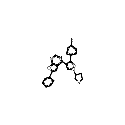 Fc1ccc(-c2nn(C3CCSC3)cc2-c2ncnc3oc(-c4ccccc4)cc23)cc1